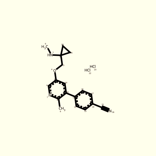 CNC1(COc2cnc(C)c(-c3ccc(C#N)cc3)c2)CC1.Cl.Cl